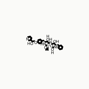 CC(C)(C)OC(=O)N[C@@H](Cc1ccc(OCC(O)c2cccnc2)cc1)C(O)CNC[C@@H](O)[C@H](Cc1ccccc1)NC(=O)O